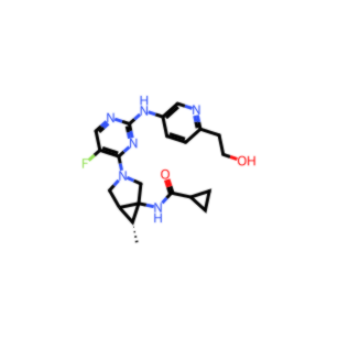 C[C@@H]1C2CN(c3nc(Nc4ccc(CCO)nc4)ncc3F)CC21NC(=O)C1CC1